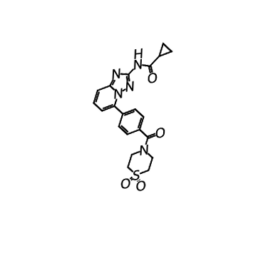 O=C(Nc1nc2cccc(-c3ccc(C(=O)N4CCS(=O)(=O)CC4)cc3)n2n1)C1CC1